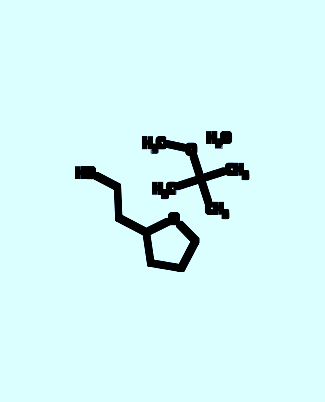 COC(C)(C)C.O.OCCC1CCCO1